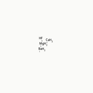 F.[BaH2].[CaH2].[MgH2]